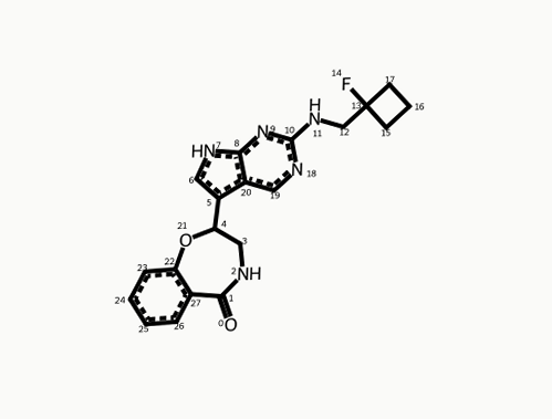 O=C1NCC(c2c[nH]c3nc(NCC4(F)CCC4)ncc23)Oc2ccccc21